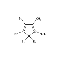 CCC1=C(CC)[C](CC)(CC)[Sn]([CH3])=[C]1C